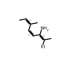 C\C=C(C)/C=C\C(N)=C(\C)CC